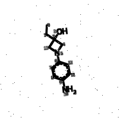 CCC1(O)CN(c2ccc(N)cc2)C1